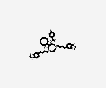 O=C(OC1CN(CCCCc2ccc3c(c2)OCO3)CCCN(CCCCc2ccc3c(c2)OCO3)CC1C1CCCCCCCC1O)c1ccc(Cl)cc1